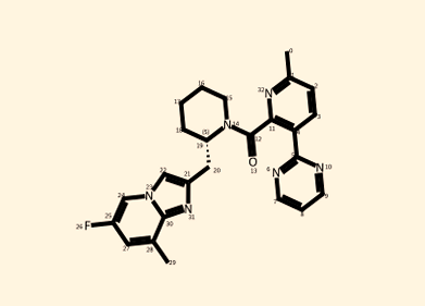 Cc1ccc(-c2ncccn2)c(C(=O)N2CCCC[C@H]2Cc2cn3cc(F)cc(C)c3n2)n1